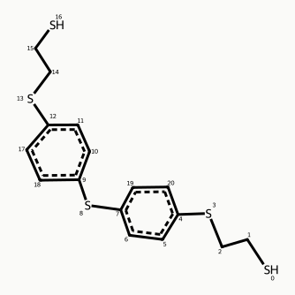 SCCSc1ccc(Sc2ccc(SCCS)cc2)cc1